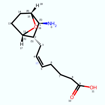 N[C@H]1[C@H](C/C=C\CCCC(=O)O)[C@@H]2CC[C@H]1O2